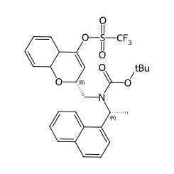 C[C@H](c1cccc2ccccc12)N(C[C@H]1C=C(OS(=O)(=O)C(F)(F)F)C2C=CC=CC2O1)C(=O)OC(C)(C)C